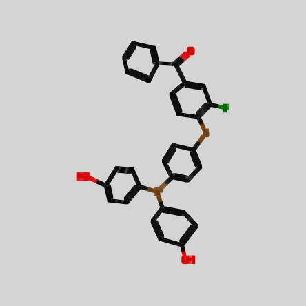 O=C(c1ccccc1)c1ccc(Sc2ccc([S+](c3ccc(O)cc3)c3ccc(O)cc3)cc2)c(F)c1